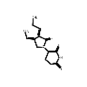 C/C=C1/CN(C2CCC(=O)NC2=O)C(=O)/C1=C/CC